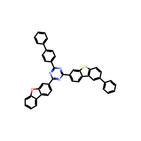 c1ccc(-c2ccc(-c3nc(-c4ccc5c(c4)oc4ccccc45)nc(-c4ccc5c(c4)sc4ccc(-c6ccccc6)cc45)n3)cc2)cc1